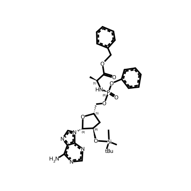 C[C@H](N[P@@](=O)(OC[C@@H]1C[C@@H](O[Si](C)(C)C(C)(C)C)[C@H](n2cnc3c(N)ncnc32)O1)Oc1ccccc1)C(=O)OCc1ccccc1